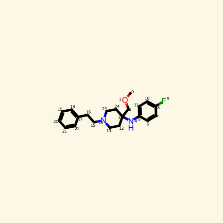 COCC1(Nc2ccc(F)cc2)CCN(CCc2ccccc2)CC1